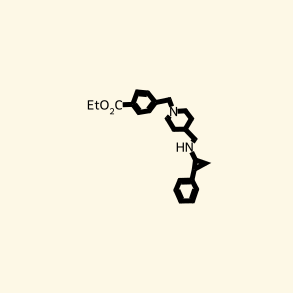 CCOC(=O)c1ccc(CN2CCC(CNC3CC3c3ccccc3)CC2)cc1